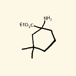 CCOC(=O)C1(N)CCCC(C)(C)C1